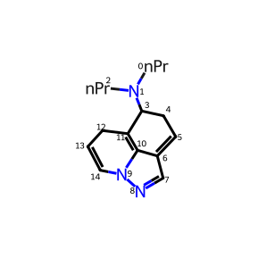 CCCN(CCC)C1CC=c2cnn3c2=C1CC=C3